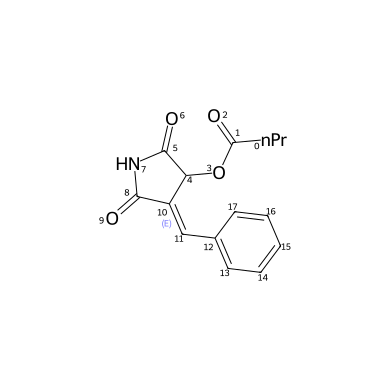 CCCC(=O)OC1C(=O)NC(=O)/C1=C/c1ccccc1